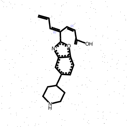 C=C/C=C(\C=C/C(=C)O)c1nc2cc(C3CCNCC3)ccc2o1